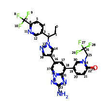 CCC(c1ccc(C(F)(F)F)nc1)n1cc(-c2cc(-c3ccc(=O)n(CC(F)(F)F)c3)c3nc(N)nn3c2)cn1